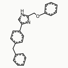 c1ccc(Cc2ccc(-c3c[nH]c(COc4ccccc4)n3)cc2)cc1